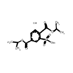 CC(C)OC(=O)c1ccc(C(=O)OC(C)C)c(S(=O)(=O)O)c1.[LiH]